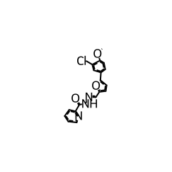 COc1ccc(-c2ccc(C=NNC(=O)c3ccccn3)o2)cc1Cl